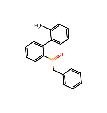 Bc1ccccc1-c1ccccc1[PH](=O)Cc1ccccc1